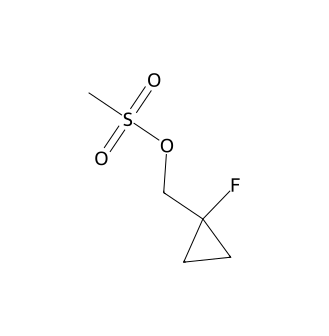 CS(=O)(=O)OCC1(F)CC1